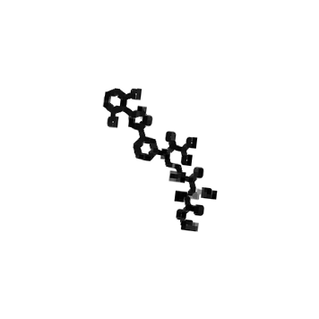 CCC(C)[C@H](NC(=O)OC(C)(C)C)C(=O)NCCN(C(=O)C(Cl)Cl)c1cccc(-c2cc(-c3c(Cl)cccc3Cl)no2)c1